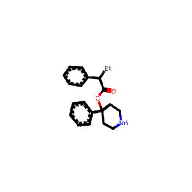 CCC(C(=O)OC1(c2ccccc2)CCNCC1)c1ccccc1